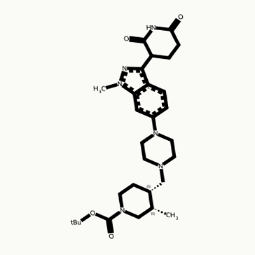 C[C@@H]1CN(C(=O)OC(C)(C)C)CC[C@@H]1CN1CCN(c2ccc3c(C4CCC(=O)NC4=O)nn(C)c3c2)CC1